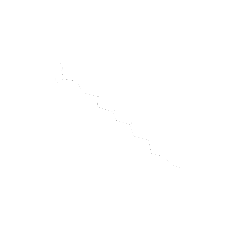 CCCCCCCCCCCC[CH2][GeH2][Br]